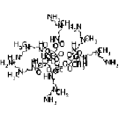 CCC(COC(=O)C(C)(COC(=O)NCCCN(C)CCCN)COC(=O)NCCCN(C)CCCN)(COC(=O)C(C)(COC(=O)NCCCN(C)CCCN)COC(=O)NCCCN(C)CCCN)COC(O)C(C)(COC(=O)NCCCN(C)CCCN)COC(=O)NCCCN(C)CCCN